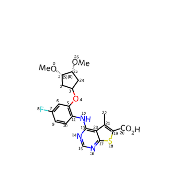 CO[C@H]1CC(Oc2cc(F)ccc2Nc2ncnc3sc(C(=O)O)c(C)c23)C[C@H]1OC